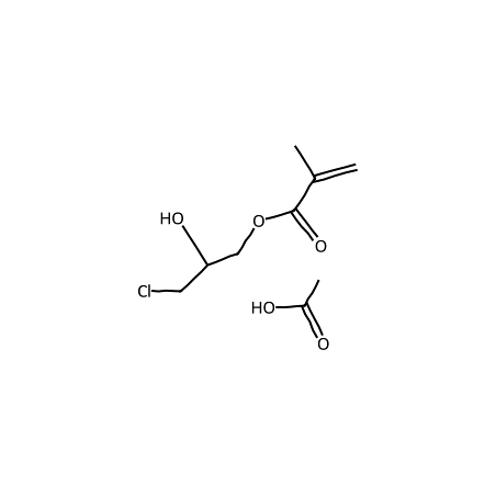 C=C(C)C(=O)OCC(O)CCl.CC(=O)O